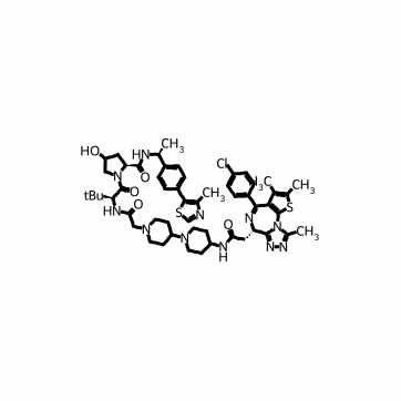 Cc1ncsc1-c1ccc([C@H](C)NC(=O)[C@@H]2CC(O)CN2C(=O)[C@@H](NC(=O)CN2CCC(N3CCC(NC(=O)C[C@@H]4N=C(c5ccc(Cl)cc5)c5c(sc(C)c5C)-n5c(C)nnc54)CC3)CC2)C(C)(C)C)cc1